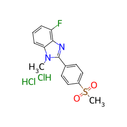 Cl.Cl.Cn1c(-c2ccc(S(C)(=O)=O)cc2)nc2c(F)cccc21